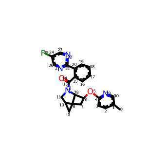 Cc1ccc(OC2CC34CC3CN(C(=O)c3ccccc3-c3ncc(F)cn3)C24)nc1